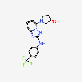 OC1CCN(c2cccc3nc(Nc4ccc(C(F)(F)F)cc4)nn23)C1